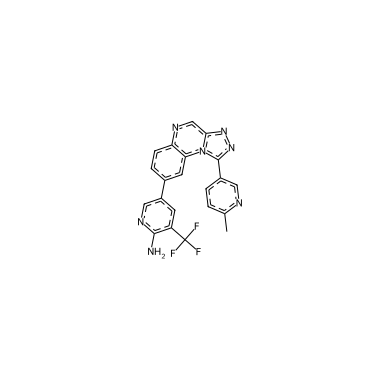 Cc1ccc(-c2nnc3cnc4ccc(-c5cnc(N)c(C(F)(F)F)c5)cc4n23)cn1